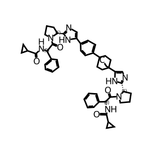 O=C(N[C@@H](C(=O)N1CCC[C@H]1c1ncc(-c2ccc(C34CCC(c5cnc([C@@H]6CCCN6C(=O)[C@H](NC(=O)C6CC6)c6ccccc6)[nH]5)(CC3)CC4)cc2)[nH]1)c1ccccc1)C1CC1